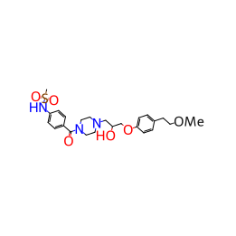 COCCc1ccc(OCC(O)CN2CCN(C(=O)c3ccc(NS(C)(=O)=O)cc3)CC2)cc1